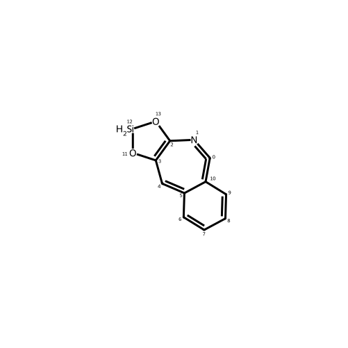 C1=NC2=C(C=c3ccccc3=1)O[SiH2]O2